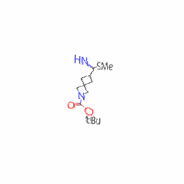 CSC(=N)C1CC2(C1)CN(C(=O)OC(C)(C)C)C2